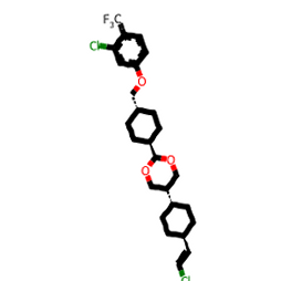 FC(F)(F)c1ccc(OC[C@H]2CC[C@H](C3OCC([C@H]4CC[C@H](/C=C/Cl)CC4)CO3)CC2)cc1Cl